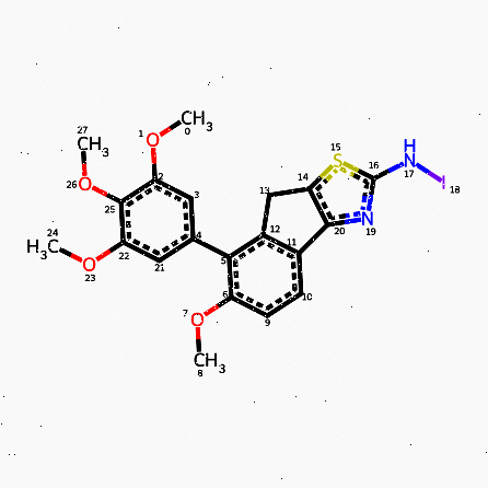 COc1cc(-c2c(OC)ccc3c2Cc2sc(NI)nc2-3)cc(OC)c1OC